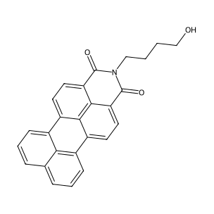 O=C1c2ccc3c4cccc5cccc(c6ccc(c2c36)C(=O)N1CCCCO)c54